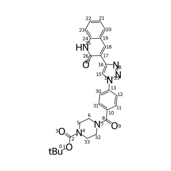 CC(C)(C)OC(=O)N1CCN(C(=O)c2ccc(-n3cc(-c4cc5ccccc5[nH]c4=O)nn3)cc2)CC1